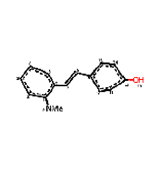 CNc1ccccc1/C=C/c1ccc(O)cc1